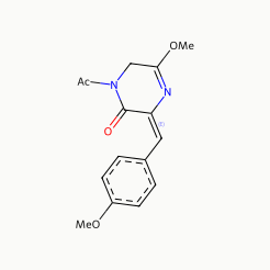 COC1=N/C(=C/c2ccc(OC)cc2)C(=O)N(C(C)=O)C1